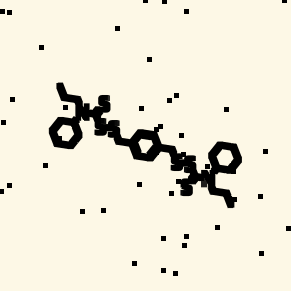 CCCN(C(=S)SSCc1ccc(CSSC(=S)N(CCC)C2CCCCC2)cc1)C1CCCCC1